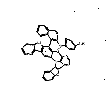 CC(C)(C)c1ccc(N2B3c4c(cc5c(oc6ccccc65)c4-c4c2ccc2ccccc42)-n2c4c3cccc4c3oc4ccccc4c32)cc1